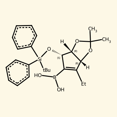 CCC1=C(B(O)O)[C@H](O[Si](c2ccccc2)(c2ccccc2)C(C)(C)C)[C@@H]2OC(C)(C)O[C@H]12